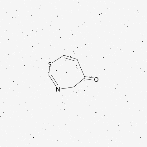 O=C1C=CSC=NC1